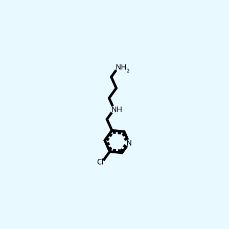 NCCCNCc1cncc(Cl)c1